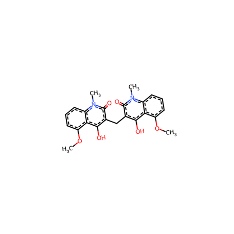 COc1cccc2c1c(O)c(Cc1c(O)c3c(OC)cccc3n(C)c1=O)c(=O)n2C